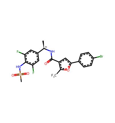 C[C@@H](NC(=O)c1cc(-c2ccc(Br)cc2)oc1C(F)(F)F)c1cc(F)c(NS(C)(=O)=O)c(F)c1